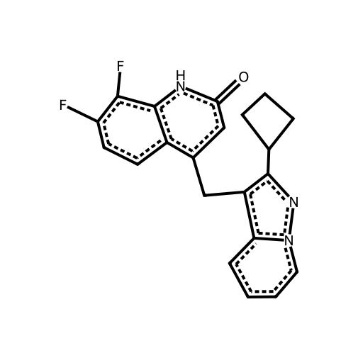 O=c1cc(Cc2c(C3CCC3)nn3ccccc23)c2ccc(F)c(F)c2[nH]1